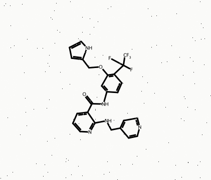 O=C(Nc1ccc(C(F)(F)C(F)(F)F)c(OCc2ccc[nH]2)c1)c1cccnc1NCc1ccncc1